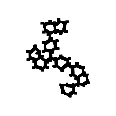 c1ccc(-c2cccc3ccc(-c4ccc(N(c5ccc(-c6cccc7ccccc67)cc5)c5cccc6ccccc56)cc4)cc23)cc1